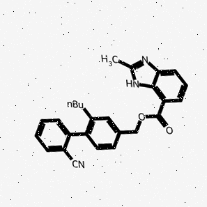 CCCCc1cc(COC(=O)c2cccc3nc(C)[nH]c23)ccc1-c1ccccc1C#N